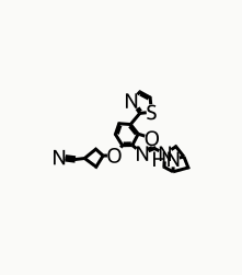 N#CC1CC(Oc2ccc(-c3nccs3)c3oc(N4CC5CC(C4)N5)nc23)C1